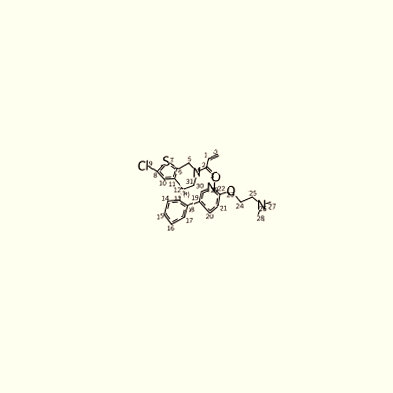 C=CC(=O)N1Cc2sc(Cl)cc2[C@@H](c2ccccc2-c2ccc(OCCN(C)C)nc2)C1